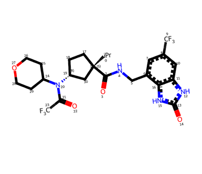 CC(C)[C@]1(C(=O)NCc2cc(C(F)(F)F)cc3[nH]c(=O)[nH]c23)CC[C@@H](N(C(=O)C(F)(F)F)C2CCOCC2)C1